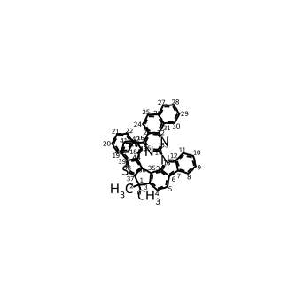 CC1(C)c2ccc3c4ccccc4n(-c4nc(-c5ccccc5)c5ccc6ccccc6c5n4)c3c2-c2c1sc1ccccc21